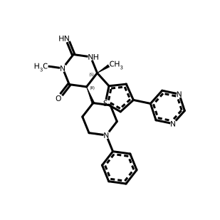 CN1C(=N)N[C@](C)(c2cc(-c3cncnc3)cs2)[C@@H](C2CCN(c3ccccc3)CC2)C1=O